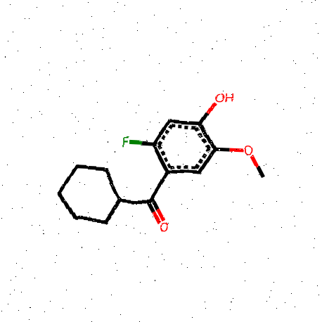 COc1cc(C(=O)C2CCCCC2)c(F)cc1O